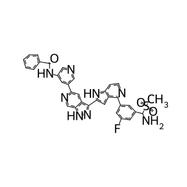 CS(=O)(=O)C(N)c1cc(F)cc(-c2nccc3[nH]c(-c4n[nH]c5cnc(-c6cncc(NC(=O)c7ccccc7)c6)cc45)cc23)c1